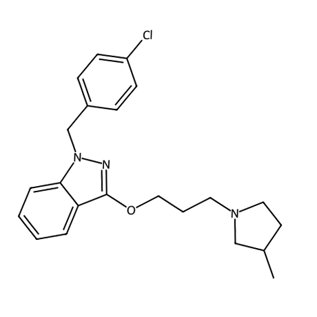 CC1CCN(CCCOc2nn(Cc3ccc(Cl)cc3)c3ccccc23)C1